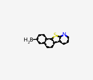 Bc1ccc2c(ccc3c4cccnc4sc23)c1